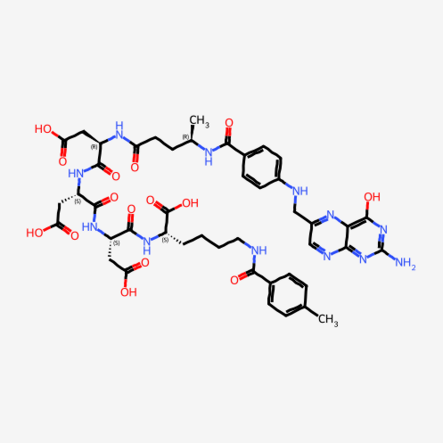 Cc1ccc(C(=O)NCCCC[C@H](NC(=O)[C@H](CC(=O)O)NC(=O)[C@H](CC(=O)O)NC(=O)[C@@H](CC(=O)O)NC(=O)CC[C@@H](C)NC(=O)c2ccc(NCc3cnc4nc(N)nc(O)c4n3)cc2)C(=O)O)cc1